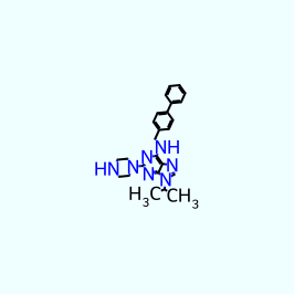 CC(C)n1cnc2c(NCc3ccc(-c4ccccc4)cc3)nc(N3CCNCC3)nc21